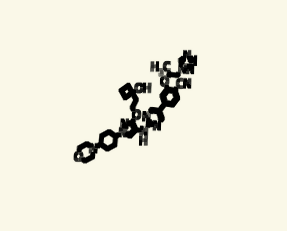 C[C@@H](Cn1cnnn1)Oc1cc(-c2cnc(Nc3cn(C4CCC(N5CCOCC5)CC4)nc3OCCC3(O)CCC3)nc2)ccc1C#N